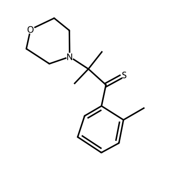 Cc1ccccc1C(=S)C(C)(C)N1CCOCC1